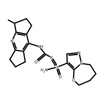 CC1CCc2c1nc1c(c2NC(=O)N=S(N)(=O)c2cnn3c2OCCCC3)CCC1